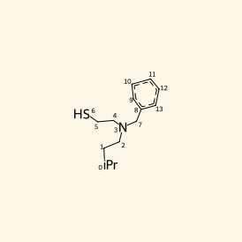 CC(C)CCN(CCS)Cc1ccccc1